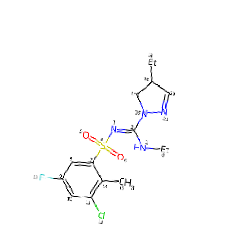 CCN/C(=N\S(=O)(=O)c1cc(F)cc(Cl)c1C)N1CC(CC)C=N1